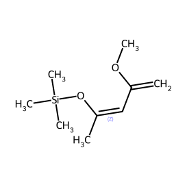 C=C(/C=C(/C)O[Si](C)(C)C)OC